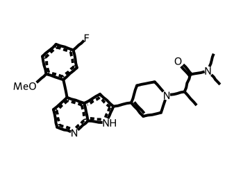 COc1ccc(F)cc1-c1ccnc2[nH]c(C3=CCN(C(C)C(=O)N(C)C)CC3)cc12